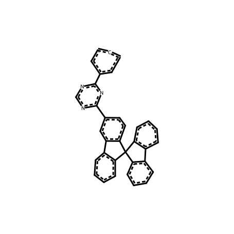 c1ccc(-c2ncnc(-c3ccc4c(c3)-c3ccccc3C43c4ccccc4-c4ccccc43)n2)cc1